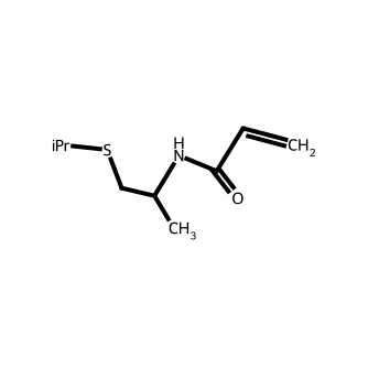 C=CC(=O)NC(C)CSC(C)C